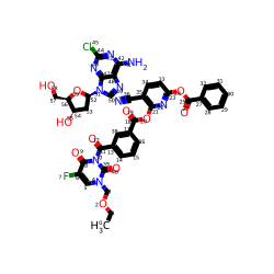 CCOCn1cc(F)c(=O)n(C(=O)c2cccc(C(=O)Oc3nc(OC(=O)c4ccccc4)ccc3C#N)c2)c1=O.Nc1nc(Cl)nc2c1ncn2[C@H]1C[C@H](O)[C@@H](CO)O1